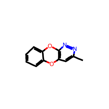 Cc1cc2c(nn1)Oc1ccccc1O2